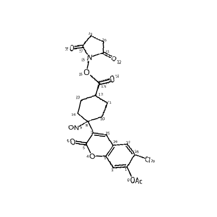 CC(=O)Oc1cc2oc(=O)c(C3(N=O)CCC(C(=O)ON4C(=O)CCC4=O)CC3)cc2cc1Cl